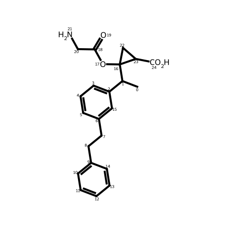 CC(c1cccc(CCc2ccccc2)c1)C1(OC(=O)CN)CC1C(=O)O